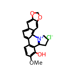 COc1ccc2c(c1O)c1[n+](c3c4cc5c(cc4ccc23)OCO5)CCC1.[Cl-]